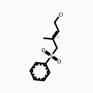 C/C(=C\CCl)CS(=O)(=O)c1ccccc1